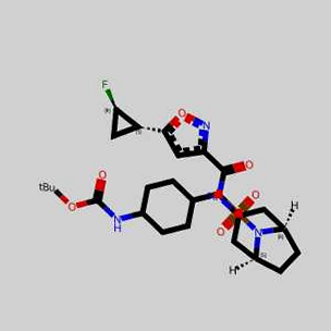 CC(C)(C)OC(=O)NC1CCC(CS(=O)(=O)N2[C@@H]3CC[C@H]2CC(NC(=O)c2cc([C@@H]4C[C@H]4F)on2)C3)CC1